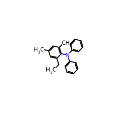 CCc1cc(C)cc(C)c1N(c1ccccc1)c1ccccc1